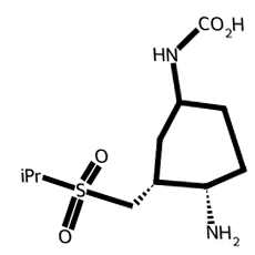 CC(C)S(=O)(=O)C[C@@H]1CC(NC(=O)O)CC[C@@H]1N